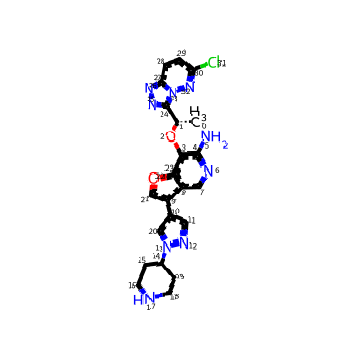 C[C@H](Oc1c(N)ncc2c(-c3cnn(C4CCNCC4)c3)coc12)c1nnc2ccc(Cl)nn12